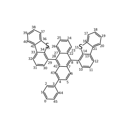 c1ccc(-c2ccc3c(-c4cccc5c4sc4ccccc45)c4ccccc4c(-c4cccc5c4sc4ccccc45)c3c2)cc1